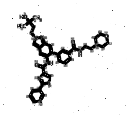 CC(C)(O)CCn1cc2cc(NC(=O)c3csc(-c4cccnc4)n3)c(-c3cccc(C(=O)NCCN4CCOCC4)c3)cc2n1